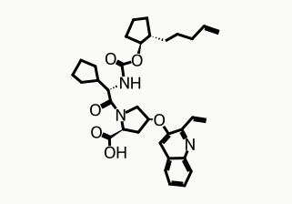 C=CCCC[C@H]1CCC[C@@H]1OC(=O)N[C@H](C(=O)N1C[C@H](Oc2cc3ccccc3nc2C=C)C[C@H]1C(=O)O)C1CCCC1